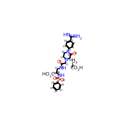 CC(=O)O.N=C(N)c1ccc(N2CCN(CC(=O)NC[C@H](NS(=O)(=O)c3ccccc3)C(=O)O)CC2=O)cc1